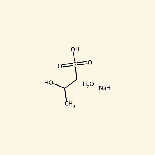 CC(O)CS(=O)(=O)O.O.[NaH]